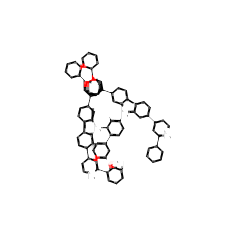 N#Cc1cccc(-c2ccc(-n3c4cc(-c5ccnc(-c6ccccc6)c5)ccc4c4ccc(-c5ccnc(-c6ccccc6)c5)cc43)c(C(F)(F)F)c2-n2c3cc(-c4ccnc(-c5ccccc5)c4)ccc3c3ccc(-c4ccnc(-c5ccccc5)c4)cc32)c1